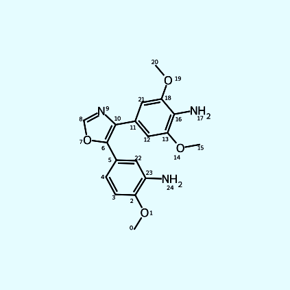 COc1ccc(-c2ocnc2-c2cc(OC)c(N)c(OC)c2)cc1N